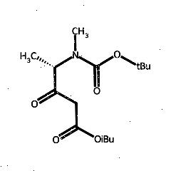 CC(C)COC(=O)CC(=O)[C@H](C)N(C)C(=O)OC(C)(C)C